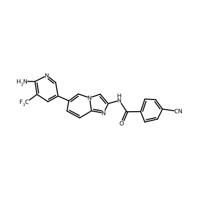 N#Cc1ccc(C(=O)Nc2cn3cc(-c4cnc(N)c(C(F)(F)F)c4)ccc3n2)cc1